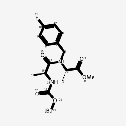 COC(=O)[C@H](C)N(Cc1ccc(F)cc1)C(=O)[C@H](C)NC(=O)OC(C)(C)C